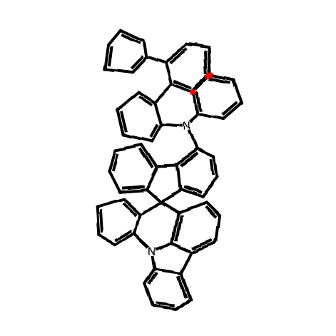 c1ccc(-c2ccccc2-c2ccccc2N(c2ccccc2)c2cccc3c2-c2ccccc2C32c3ccccc3-n3c4ccccc4c4cccc2c43)cc1